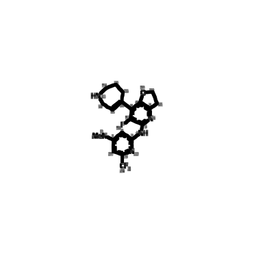 CNc1cc(Nc2nc3c(c(C4=CCNCCC4)c2F)OCC3)nc(C(F)(F)F)c1